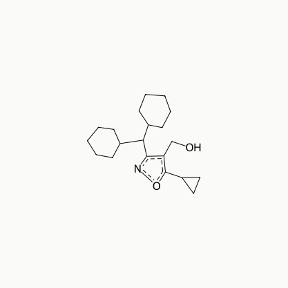 OCc1c(C(C2CCCCC2)C2CCCCC2)noc1C1CC1